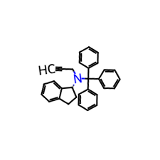 C#CCN([C@@H]1CCc2ccccc21)C(c1ccccc1)(c1ccccc1)c1ccccc1